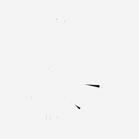 CC(=O)OC[C@H]1OC(=O)[C@@](C)(O)[C@@H]1O